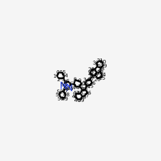 c1ccc(-c2cc(-c3cccc(-c4c(-c5ccc(-c6ccc7c8c(cccc68)-c6ccccc6-7)cc5)ccc5ccccc45)c3)nc(-c3ccccc3)n2)cc1